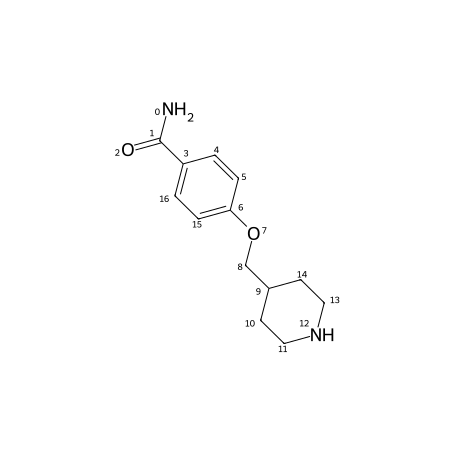 NC(=O)c1ccc(OCC2CCNCC2)cc1